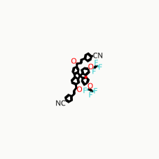 N#Cc1ccc(C=CC(=O)c2ccc3c(c2)C(c2ccc(OC(F)=C(F)F)cc2)(c2ccc(OC(F)=C(F)F)cc2)c2cc(C(=O)C=Cc4ccc(C#N)cc4)ccc2-3)cc1